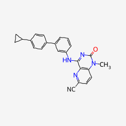 Cn1c(=O)nc(Nc2cccc(-c3ccc(C4CC4)cc3)c2)c2nc(C#N)ccc21